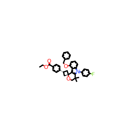 CCOC(=O)c1ccc([C@H]2C[C@]3(C2)OCC(C)(C)c2c3c3c(OCc4ccccc4)cccc3n2-c2ccc(F)cc2)cc1